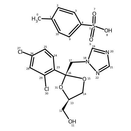 Cc1ccc(S(=O)(=O)O)cc1.OC[C@@H]1CO[C@@](Cn2cncn2)(c2ccc(Cl)cc2Cl)O1